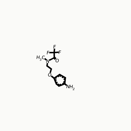 CN(CCOc1ccc(N)cc1)C(=O)C(F)(F)F